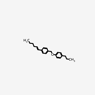 CCCCC=Cc1ccc(COc2ccc(CCC)cc2)cc1